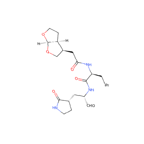 CC(C)C[C@H](NC(=O)C[C@H]1CO[C@H]2OCC[C@@H]12)C(=O)N[C@H](C=O)C[C@@H]1CCNC1=O